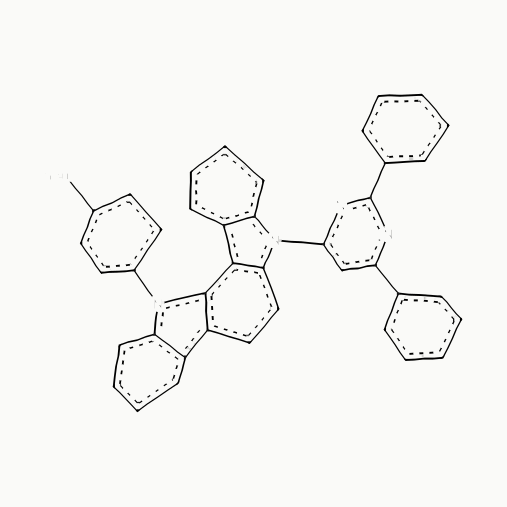 CCCCc1ccc(-n2c3ccccc3c3ccc4c(c5ccccc5n4-c4cc(-c5ccccc5)nc(-c5ccccc5)n4)c32)cc1